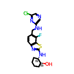 O[C@H]1CCCC[C@@H]1Nc1nc2ccc(CNc3cncc(Cl)n3)c(F)c2s1